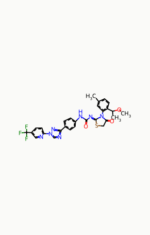 COC(C)c1ccc(C)cc1N1C(=O)CS/C1=N\C(=O)Nc1ccc(-c2ncn(-c3ccc(C(F)(F)F)cn3)n2)cc1